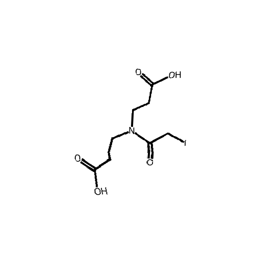 O=C(O)CCN(CCC(=O)O)C(=O)CI